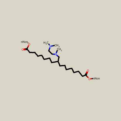 CCCCCCCCCOC(=O)CCCCCCCC(CCCCCCCC(=O)OCCCCCCCCC)CN(C)CCN(C)C